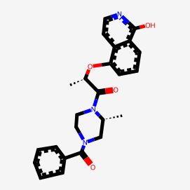 C[C@H](Oc1cccc2c(O)nccc12)C(=O)N1CCN(C(=O)c2ccccc2)C[C@H]1C